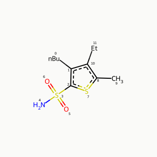 CCCCc1c(S(N)(=O)=O)sc(C)c1CC